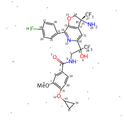 COc1cc(C(=O)NCC(O)(c2cc3c(c(-c4ccc(F)cc4)n2)OC[C@@]3(N)C(F)(F)F)C(F)(F)F)ccc1OC1CC1